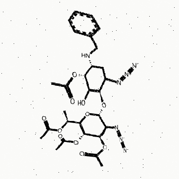 CC(=O)O[C@@H](C)C1O[C@H](O[C@@H]2C(N=[N+]=[N-])C[C@@H](NCc3ccccc3)[C@@H](OC(C)=O)C2O)C(N=[N+]=[N-])[C@@H](OC(C)=O)[C@@H]1OC(C)=O